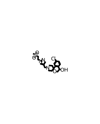 CS(=O)(=O)CCn1cc(CN2CCC3(CC2)OCC(O)c2ccc(Cl)cc23)cn1